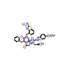 C#CCN(C(=O)NCc1ccc(OC)cc1)N1CC(=O)N2[C@@H](Cc3ccccc3)C(=O)N(Cc3cccc4sc(N)nc34)C[C@@H]21